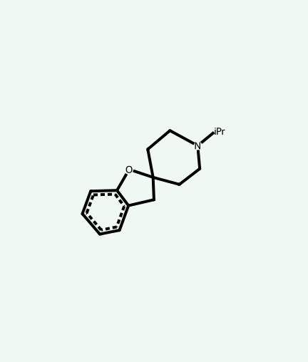 CC(C)N1CCC2(CC1)Cc1ccccc1O2